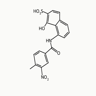 Cc1ccc(C(=O)Nc2cccc3ccc(S(=O)(=O)O)c(O)c23)cc1[N+](=O)[O-]